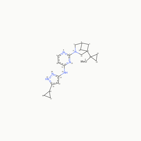 COC1(C23CC(CN(c4nccc(Nc5cc(C6CC6)[nH]n5)n4)C2)C3)CC1